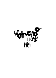 CC(C)[C@H](C(=O)O)N(C)C1CC(CN2CCC(CCC(F)(F)c3cc(C(F)(F)F)ccn3)CC2)C(c2cccc(F)c2)C1.Cl.Cl.Cl